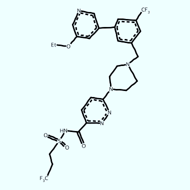 CCOc1cncc(-c2cc(CN3CCN(c4ccc(C(=O)NS(=O)(=O)CCC(F)(F)F)nn4)CC3)cc(C(F)(F)F)c2)c1